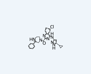 O=C(c1nc(Nc2cc(C3CC3)[nH]n2)c2cc(Cl)ccc2n1)N1CCN[C@H](c2ccccc2)C1